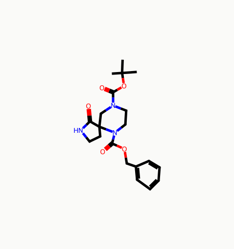 CC(C)(C)OC(=O)N1CCN(C(=O)OCc2ccccc2)C2(CCNC2=O)C1